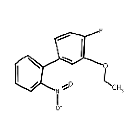 CCOc1cc(-c2ccccc2[N+](=O)[O-])ccc1F